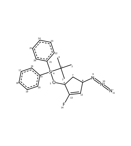 CC(C)(C)[Si](OC1CC(N=[N+]=[N-])C=C1F)(c1ccccc1)c1ccccc1